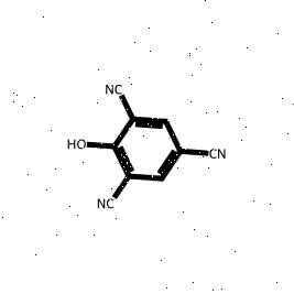 N#Cc1cc(C#N)c(O)c(C#N)c1